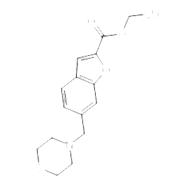 CCOC(=O)c1cc2ccc(CN3CCOCC3)cc2o1